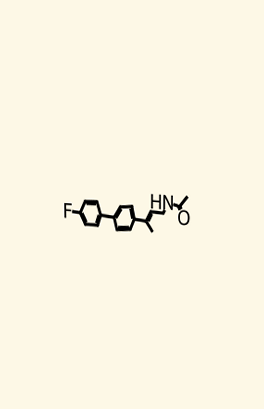 CC(=O)NCC=C(C)c1ccc(-c2ccc(F)cc2)cc1